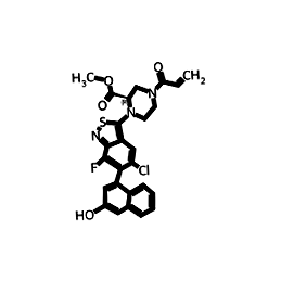 C=CC(=O)N1CCN(c2snc3c(F)c(-c4cc(O)cc5ccccc45)c(Cl)cc23)[C@@H](C(=O)OC)C1